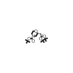 CC(C)(C)OC(=O)N1CCO[C@H](CB2OC(C)(C)C(C)(C)O2)C1